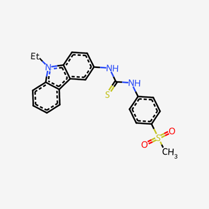 CCn1c2ccccc2c2cc(NC(=S)Nc3ccc(S(C)(=O)=O)cc3)ccc21